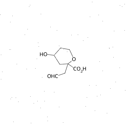 O=CCC1(C(=O)O)CC(O)CCO1